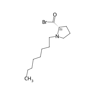 CCCCCCCCN1CCC[C@H]1C(=O)Br